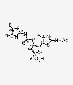 CC(=O)Nc1nc(C)c(-c2sc(C(=O)O)cc2CC(=O)Nc2nc(C)c(I)s2)s1